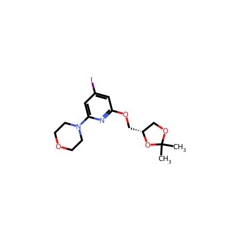 CC1(C)OC[C@@H](COc2cc(I)cc(N3CCOCC3)n2)O1